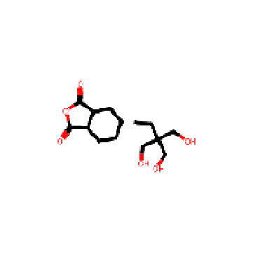 CCC(CO)(CO)CO.O=C1OC(=O)C2CCCCC12